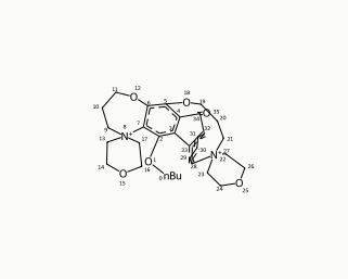 CCCCOc1c2c3c(c4c1[N+]1(CCCO4)CCOCC1)OCCC[N+]1(CCOCC1)c1cccc(c1-2)C3=O